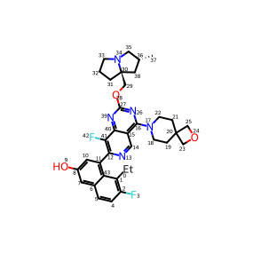 CCc1c(F)ccc2cc(O)cc(-c3ncc4c(N5CCC6(CC5)COC6)nc(OC[C@@]56CCCN5C[C@H](C)C6)nc4c3F)c12